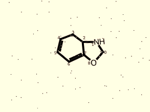 [C]1NC2[C]C=CC=C2O1